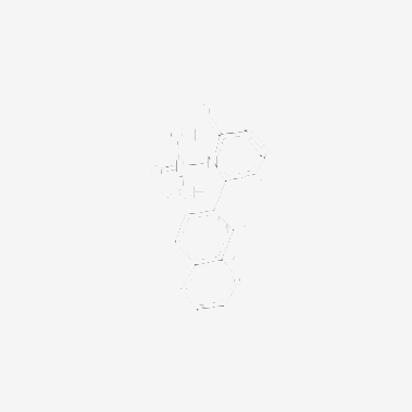 O=c1c#ccc(-c2ccc3ccccc3c2)n1P(=O)(O)O